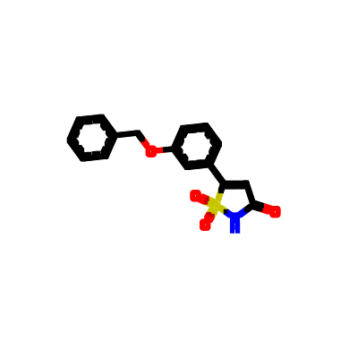 O=C1C=C(c2cccc(OCc3ccccc3)c2)S(=O)(=O)N1